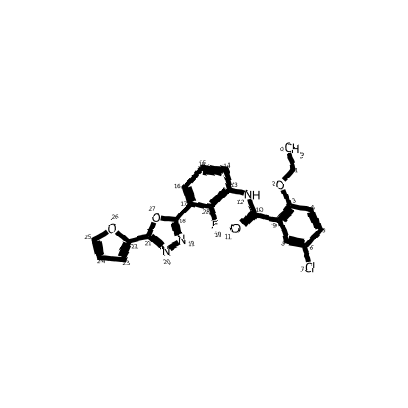 CCOc1ccc(Cl)cc1C(=O)Nc1cccc(-c2nnc(-c3ccco3)o2)c1F